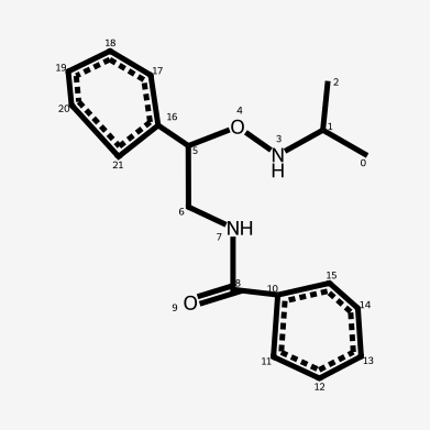 CC(C)NOC(CNC(=O)c1ccccc1)c1ccccc1